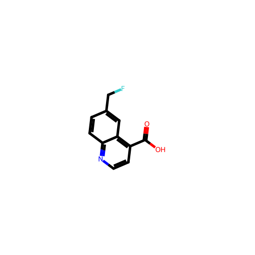 O=C(O)c1ccnc2ccc(CF)cc12